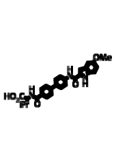 COc1ccc2[nH]c(C(=O)Nc3ccc(-c4ccc(C(=O)NC(C(=O)O)C(C)C)cc4)cc3)cc2c1